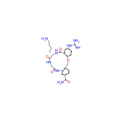 N=C(N)Nc1ccc2c(c1)C(=O)N[C@@H](CCCCN)C(=O)NCC(=O)Nc1cc(C(N)=O)ccc1CO2